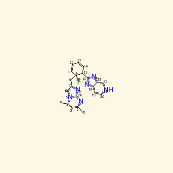 Cc1cc(C)n2cc(CC3(F)C=CC=CC3c3nc4cc[nH]cc-4n3)nc2n1